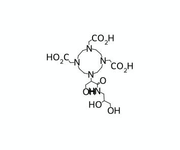 O=C(O)CN1CCN(CC(=O)O)CCN(C(CO)C(=O)NCC(O)CO)CCN(CC(=O)O)CC1